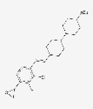 CCCCC1CCC(C2CCC(/C=C/c3ccc(C4CO4)c(F)c3Cl)CC2)CC1